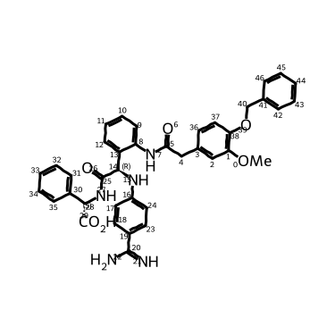 COc1cc(CC(=O)Nc2ccccc2[C@@H](Nc2ccc(C(=N)N)cc2)C(=O)N[C@H](C(=O)O)c2ccccc2)ccc1OCc1ccccc1